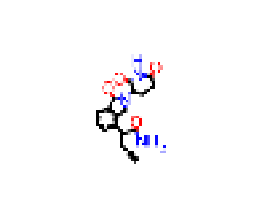 C#CCC(C(N)=O)c1cccc2c1CN(C1CCC(=O)NC1=O)C2=O